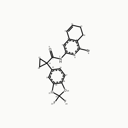 O=C(Nc1cc2c(c(Br)n1)CCC=C2)C1(c2ccc3c(c2)OC(F)(F)O3)CC1